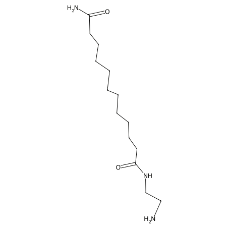 NCCNC(=O)CCCCCCCCCCC(N)=O